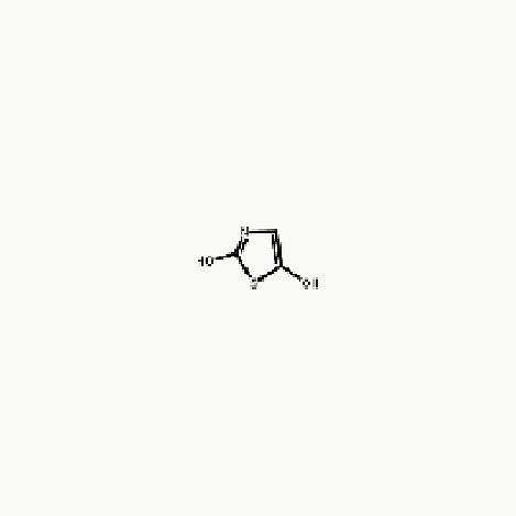 Oc1cnc(O)s1